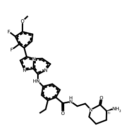 CCc1cc(Nc2nccn3c(-c4ccc(OC)c(F)c4F)cnc23)ccc1C(=O)NCCN1CCC[C@H](N)C1=O